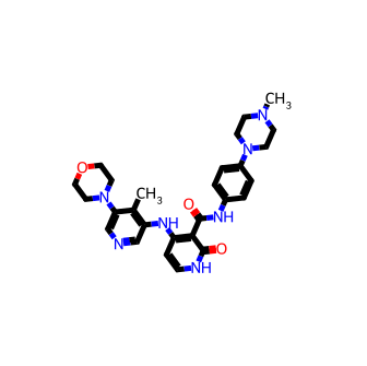 Cc1c(Nc2cc[nH]c(=O)c2C(=O)Nc2ccc(N3CCN(C)CC3)cc2)cncc1N1CCOCC1